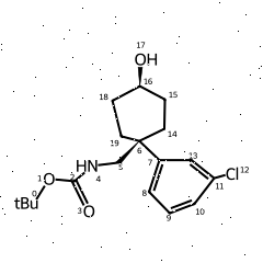 CC(C)(C)OC(=O)NC[C@]1(c2cccc(Cl)c2)CC[C@H](O)CC1